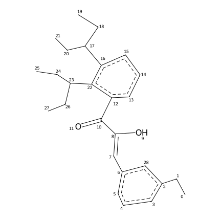 CCc1cccc(C=C(O)C(=O)c2cccc(C(CC)CC)c2C(CC)CC)c1